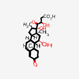 C[C@@H]1C[C@H]2[C@@H]3CCC4=CC(=O)CC[C@]4(C)[C@H]3[C@@H](O)C[C@]2(C)[C@@]1(O)C(=O)C(O)CC(=O)O